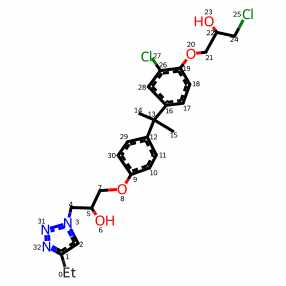 CCc1cn(CC(O)COc2ccc(C(C)(C)c3ccc(OCC(O)CCl)c(Cl)c3)cc2)nn1